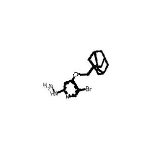 NNc1cc(OCC23CC4CC(CC(C4)C2)C3)c(Br)cn1